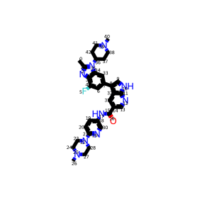 Cc1nc2c(F)cc(-c3c[nH]c4ncc(C(=O)Nc5ccc(N6CCN(C)CC6)nc5)cc34)cc2n1C1CCN(C)CC1